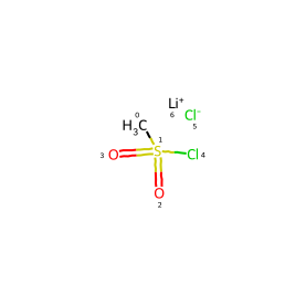 CS(=O)(=O)Cl.[Cl-].[Li+]